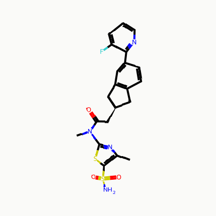 Cc1nc(N(C)C(=O)C[C@@H]2Cc3ccc(-c4ncccc4F)cc3C2)sc1S(N)(=O)=O